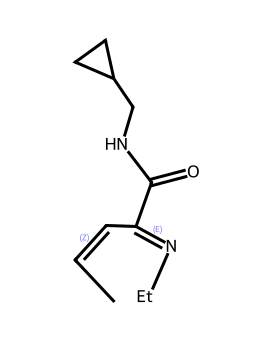 C/C=C\C(=N/CC)C(=O)NCC1CC1